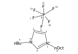 CCCCCCCC[n+]1ccn(CCCC)c1.F[P-](F)(F)(F)(F)F